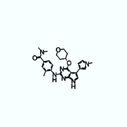 Cc1cc(C(=O)N(C)C)ccc1Nc1nc(OC2CCOCC2)c2c(-c3ccn(C)c3)c[nH]c2n1